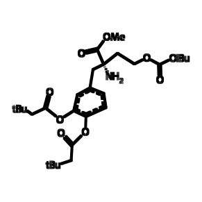 COC(=O)[C@@](N)(CCOC(=O)OCC(C)C)Cc1ccc(OC(=O)CC(C)(C)C)c(OC(=O)CC(C)(C)C)c1